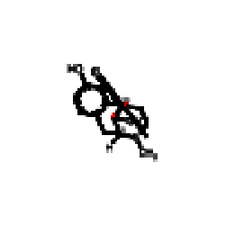 CN1CC[C@]23CC(=O)CCC2(O)[C@H]1Cc1ccc(O)cc13